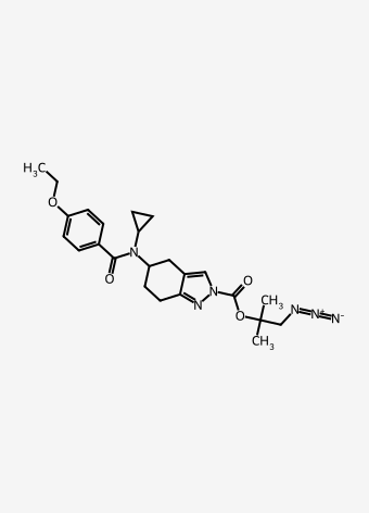 CCOc1ccc(C(=O)N(C2CC2)C2CCc3nn(C(=O)OC(C)(C)CN=[N+]=[N-])cc3C2)cc1